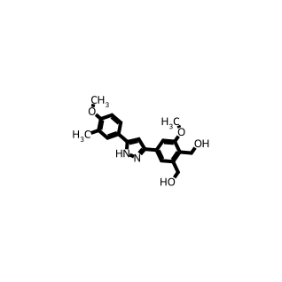 COc1ccc(-c2cc(-c3cc(CO)c(CO)c(OC)c3)n[nH]2)cc1C